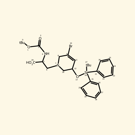 CC(C)(C)OC(=O)NC(CN1CC(Br)=CC(O[Si](c2ccccc2)(c2ccccc2)C(C)(C)C)C1)C(=O)O